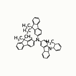 CC1C=CC=CC1N1c2ccc(N(c3ccc4c(c3)C(C)(C)c3ccccc3-4)c3ccc4c(c3)C(C)(C)c3ccccc3-4)cc2C2C=CC=CC21